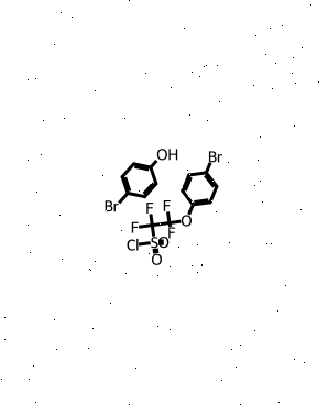 O=S(=O)(Cl)C(F)(F)C(F)(F)Oc1ccc(Br)cc1.Oc1ccc(Br)cc1